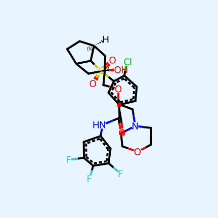 O=C(Nc1cc(F)c(F)c(F)c1)c1ccc(Cl)c(S(=O)(=O)C2C3CC[C@H]2C[C@](O)(COCCN2CCOCC2)C3)c1